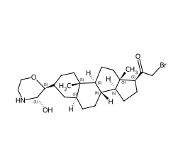 C[C@]12CCC([C@@H]3OCCN[C@H]3O)C[C@@H]1CC[C@@H]1[C@@H]2CC[C@]2(C)[C@@H](C(=O)CBr)CC[C@@H]12